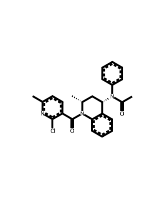 CC(=O)N(c1ccccc1)[C@H]1C[C@@H](C)N(C(=O)c2ccc(C)nc2Cl)c2ccccc21